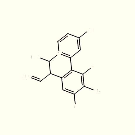 C=CC1c2cc(F)c(C#N)c(F)c2-c2cc(C)cc[n+]2C1C